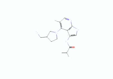 CC(C)C(=O)Nc1c[nH]c2ncc(Br)c(N3CCC(CN)C3)c12